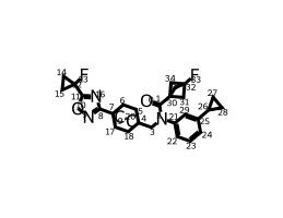 O=C(N(CC12CCC(c3noc(C4(F)CC4)n3)(CC1)CC2)c1cccc(C2CC2)c1)C12CC(F)(C1)C2